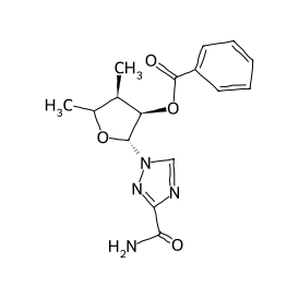 CC1O[C@@H](n2cnc(C(N)=O)n2)[C@H](OC(=O)c2ccccc2)[C@@H]1C